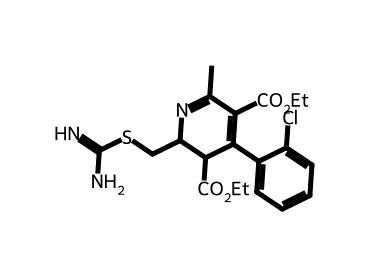 CCOC(=O)C1=C(c2ccccc2Cl)C(C(=O)OCC)C(CSC(=N)N)N=C1C